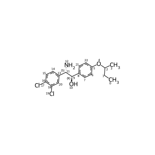 CCC(C)Oc1ccc([C@@H](O)[C@@H](N)c2ccc(Cl)c(Cl)c2)cc1